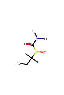 CCN(CC)C(=O)[S+]([O-])C(C)(C)CC(C)=O